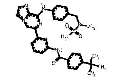 CN(Cc1ccc(Nc2nc(-c3cccc(NC(=O)c4ccc(C(C)(C)C)cc4)c3)cn3ccnc23)cc1)S(C)(=O)=O